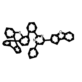 c1ccc(-c2cc(-c3ccc4c(c3)oc3ccccc34)nc(-c3ccccc3-c3cccc4c3Sc3ccccc3C43c4ccccc4-c4ccccc43)n2)cc1